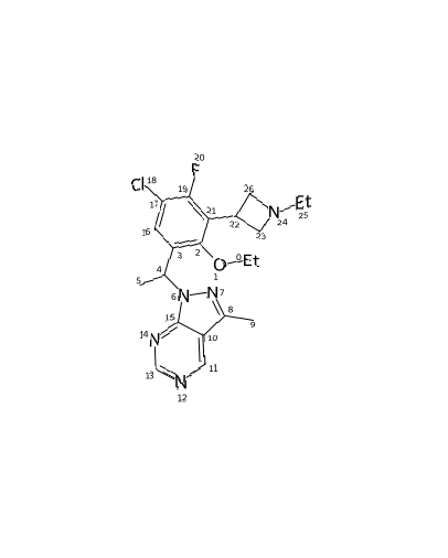 CCOc1c(C(C)n2nc(C)c3cncnc32)cc(Cl)c(F)c1C1CN(CC)C1